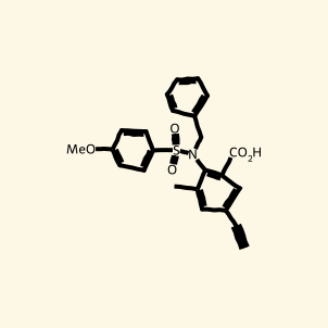 C#Cc1cc(C)c(N(Cc2ccccc2)S(=O)(=O)c2ccc(OC)cc2)c(C(=O)O)c1